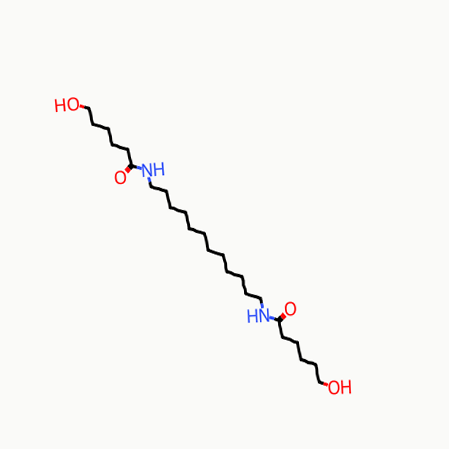 O=C(CCCCCO)NCCCCCCCCCCCCNC(=O)CCCCCO